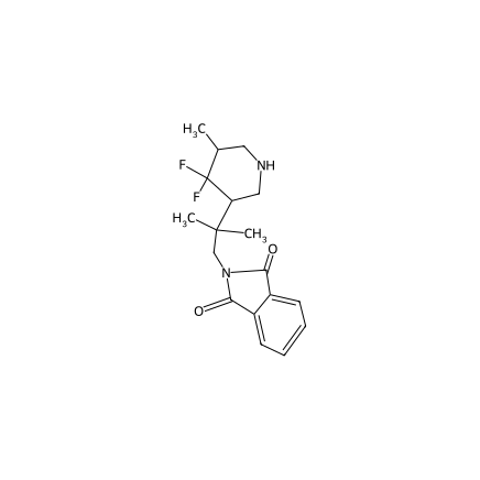 CC1CNCC(C(C)(C)CN2C(=O)c3ccccc3C2=O)C1(F)F